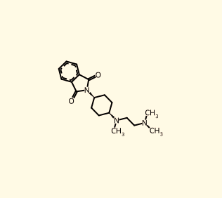 CN(C)CCN(C)[C@H]1CC[C@@H](N2C(=O)c3ccccc3C2=O)CC1